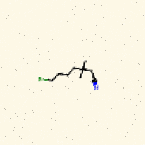 CC(C)(CC#N)CCCCBr